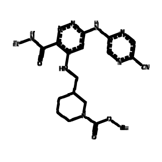 CCNC(=O)c1nnc(Nc2cnc(C#N)cn2)cc1NCC1CCCN(C(=O)OC(C)(C)C)C1